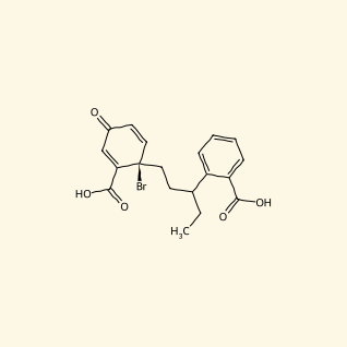 CCC(CC[C@@]1(Br)C=CC(=O)C=C1C(=O)O)c1ccccc1C(=O)O